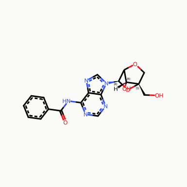 O=C(Nc1ncnc2c1ncn2[C@@H]1O[C@@]2(CO)COC1[C@H]2O)c1ccccc1